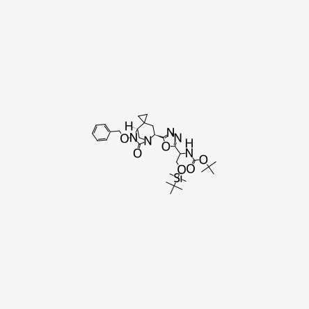 CC(C)(C)OC(=O)NC(CO[Si](C)(C)C(C)(C)C)c1nnc([C@@H]2CC3(CC3)[C@H]3CN2C(=O)N3OCc2ccccc2)o1